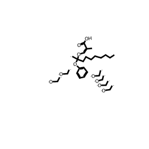 [CH2]C(CCCCCCCC)(OC=C(C)C(=O)O)Oc1ccccc1.[CH2]C[O].[CH2]C[O].[CH2]C[O].[CH2]C[O].[CH2]C[O].[CH2]C[O]